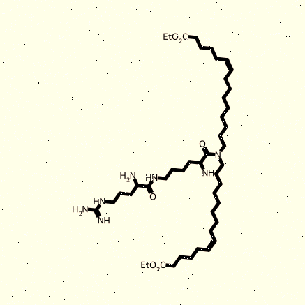 CCOC(=O)CCCC/C=C\CCCCCCCCN(CCCCCCCC/C=C\CCCCC(=O)OCC)C(=O)C(N)CCCCNC(=O)C(N)CCCNC(=N)N